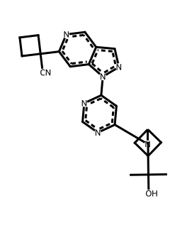 CC(C)(O)C12CC(C1)N(c1cc(-n3ncc4cnc(C5(C#N)CCC5)cc43)ncn1)C2